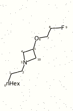 CCCCCCCCN1CC(OCCF)C1